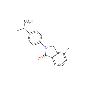 Cc1cccc2c1CN(c1ccc(C(C)C(=O)O)cc1)C2=O